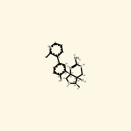 Cc1ncccc1-c1ccc(F)c([C@]23CO[C@H](C)[C@H]2CSC(N)=N3)c1